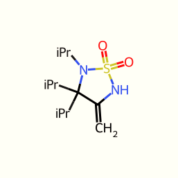 C=C1NS(=O)(=O)N(C(C)C)C1(C(C)C)C(C)C